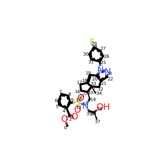 COC(=O)c1ccccc1S(=O)(=O)N(C[C@H]1CCC2=Cc3c(cnn3-c3ccc(F)cc3)C[C@@]21C)C[C@H](C)O